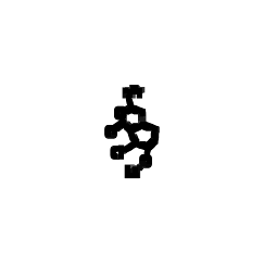 CCCc1cc2ccc(OCC)c(Cl)c2c(=O)o1